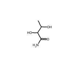 CC(O)C(O)C(N)=O